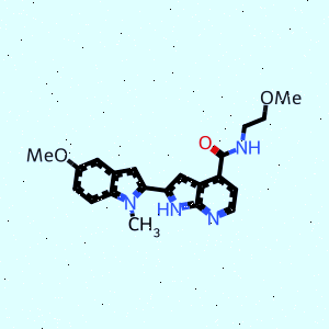 COCCNC(=O)c1ccnc2[nH]c(-c3cc4cc(OC)ccc4n3C)cc12